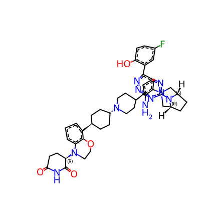 Nc1nnc(-c2cc(F)ccc2O)cc1N1C[C@H]2CC[C@@H](C1)N2c1nccc(C2CCN([C@H]3CC[C@H](c4cccc5c4OCCN5[C@@H]4CCC(=O)NC4=O)CC3)CC2)n1